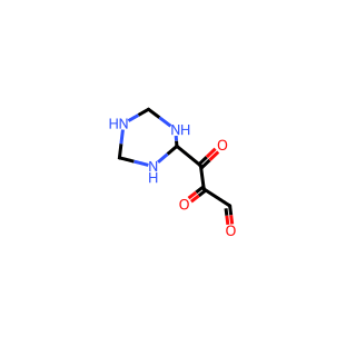 O=CC(=O)C(=O)C1NCNCN1